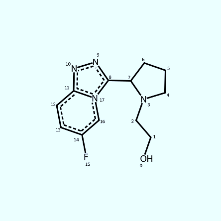 OCCN1CCCC1c1nnc2ccc(F)cn12